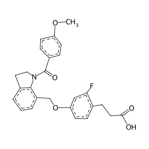 COc1ccc(C(=O)N2CCc3cccc(COc4ccc(CCC(=O)O)c(F)c4)c32)cc1